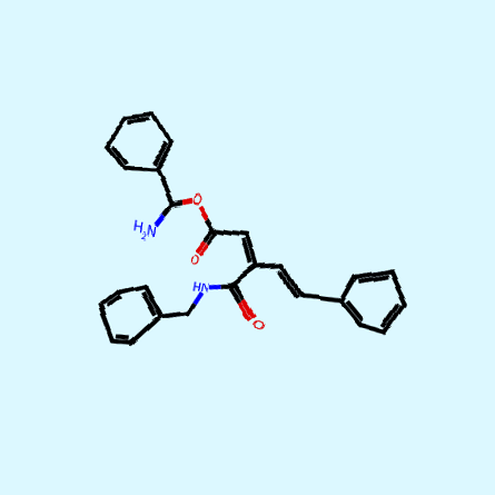 NC(OC(=O)C=C(C=Cc1ccccc1)C(=O)NCc1ccccc1)c1ccccc1